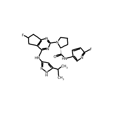 CC(C)c1cc(Nc2nc(N3CCC[C@@H]3C(=O)Nc3ccc(F)nc3)nc3c2CC(F)C3)n[nH]1